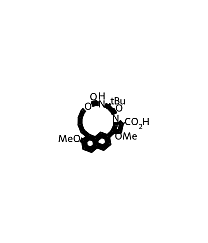 COc1ccc2ccc3cc2c1CCCCOC(=O)N[C@@H](C(C)(C)C)C(=O)N1C[C@@]3(OC)C[C@H]1C(=O)O